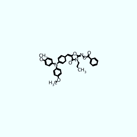 CCCN1C(=O)/C(=C\C2C=CC(N(c3ccc(OC)cc3)c3ccc(OC)cc3)=CC2)O/C1=N/OC(=O)c1ccccc1